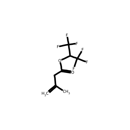 C=C(C)CC(=O)OC(C(F)(F)F)C(F)(F)F